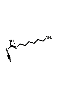 N#C[N]C(N)=NCCCCCCN